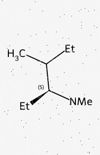 CCC(C)[C@H](CC)NC